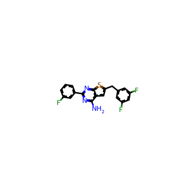 Nc1nc(-c2cccc(F)c2)nc2sc(Cc3cc(F)cc(F)c3)cc12